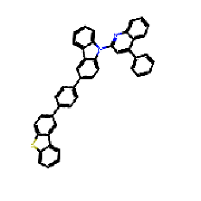 c1ccc(-c2cc(-n3c4ccccc4c4cc(-c5ccc(-c6ccc7sc8ccccc8c7c6)cc5)ccc43)nc3ccccc23)cc1